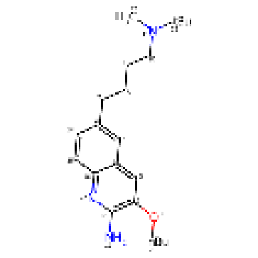 CCCCOc1cc2cc(CCCCN(C)C(C)(C)C)ccc2nc1N